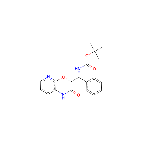 CC(C)(C)OC(=O)N[C@H](c1ccccc1)[C@H]1Oc2ncccc2NC1=O